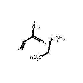 C=CC(N)=O.CC(C)CS(=O)(=O)O.N